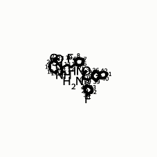 N[C@H](C(=O)Nc1cccc(F)c1CCC1CNC2CCCS(=O)(=O)N1C2)[C@@H](c1ccc(F)cc1)c1ccc2c(c1)CCC2